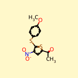 COc1ccc(Sc2sc(C(C)=O)cc2[N+](=O)[O-])cc1